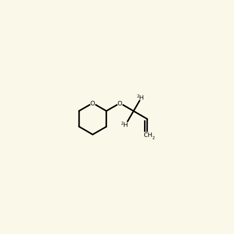 [2H]C([2H])(C=C)OC1CCCCO1